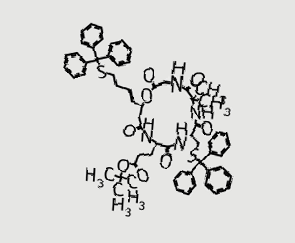 CC(C)(C)OC(=O)CC[C@H]1NC(=O)C[C@@H](/C=C/CCSC(c2ccccc2)(c2ccccc2)c2ccccc2)OC(=O)CNC(=O)C(C)(C)NC(=O)[C@@H](CSC(c2ccccc2)(c2ccccc2)c2ccccc2)NC1=O